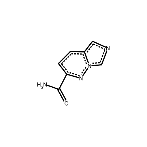 NC(=O)c1ccc2cncn2n1